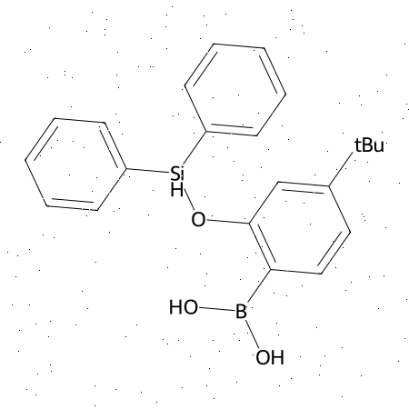 CC(C)(C)c1ccc(B(O)O)c(O[SiH](c2ccccc2)c2ccccc2)c1